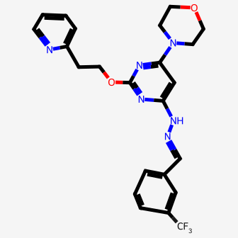 FC(F)(F)c1cccc(/C=N/Nc2cc(N3CCOCC3)nc(OCCc3ccccn3)n2)c1